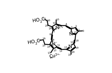 CC1=Cc2cc3[n-]c(cc4[n-]c(cc5nc(cc1n2)C=C5C)c(C)c4CCC(=O)O)c(CCC(=O)O)c3C.[Cu+2]